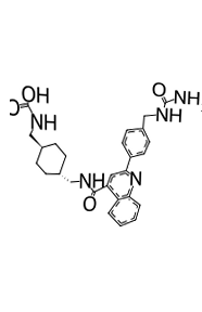 NC(=O)NCc1ccc(-c2cc(C(=O)NC[C@H]3CC[C@H](CNC(=O)O)CC3)c3ccccc3n2)cc1